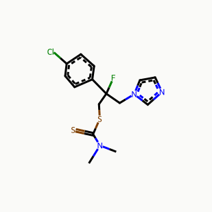 CN(C)C(=S)SCC(F)(Cn1ccnc1)c1ccc(Cl)cc1